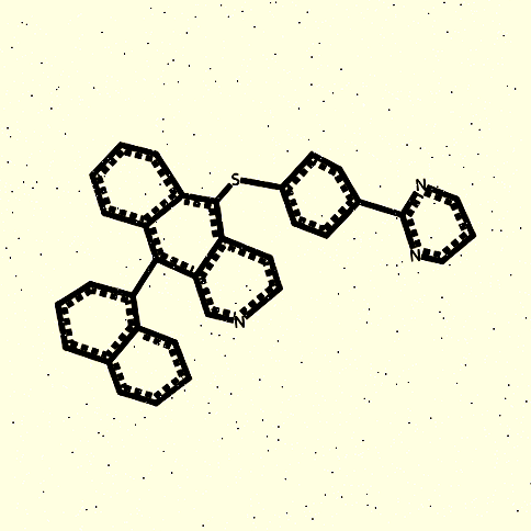 c1cnc(-c2ccc(Sc3c4ccccc4c(-c4cccc5ccccc45)c4cnccc34)cc2)nc1